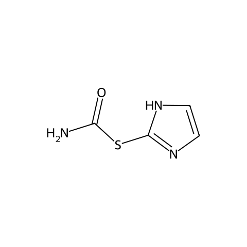 NC(=O)Sc1ncc[nH]1